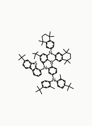 Cc1cc(C(C)(C)C)ccc1N(c1ccc2c(c1)N(c1cccc3c1sc1cc(C(C)(C)C)ccc13)c1cc(C(C)(C)C)cc3c1B2c1cc2c(cc1N3c1ccc3c(c1)C(C)(C)CCC3(C)C)C(C)(C)CCC2(C)C)c1ccc(C(C)(C)C)cc1C